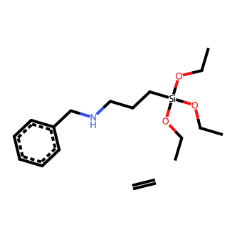 C=C.CCO[Si](CCCNCc1ccccc1)(OCC)OCC